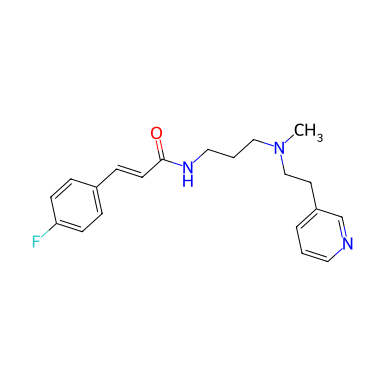 CN(CCCNC(=O)/C=C/c1ccc(F)cc1)CCc1cccnc1